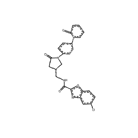 O=C(NCC1CC(=O)N(c2ccc(-n3ccccc3=O)cc2)C1)c1nc2cc(Cl)ccc2s1